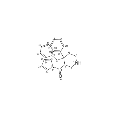 O=C(C1CNCCC1(Cc1ccccc1)c1ccccc1)n1cccc1